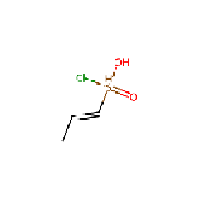 CC=C[SH](=O)(O)Cl